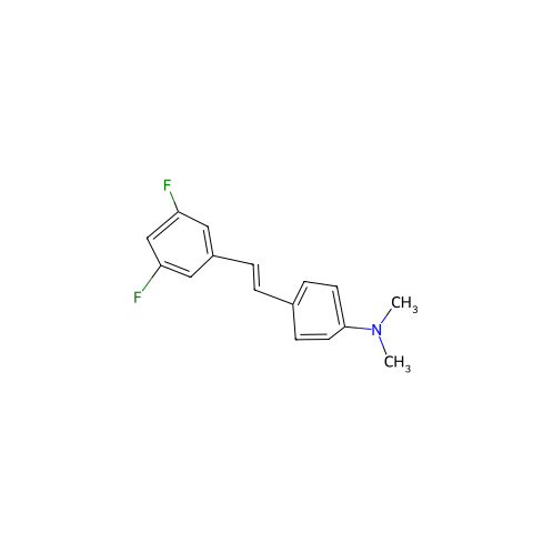 CN(C)c1ccc(C=Cc2cc(F)cc(F)c2)cc1